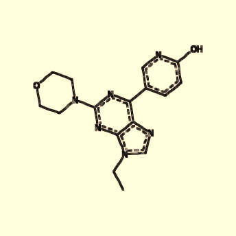 CCn1cnc2c(-c3ccc(O)nc3)nc(N3CCOCC3)nc21